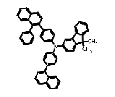 CC1(C)c2ccccc2-c2cc(N(c3ccc(-c4ccc5ccccc5c4-c4ccccc4)cc3)c3ccc(-c4cccc5ccccc45)cc3)ccc21